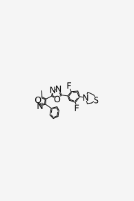 Cc1onc(-c2ccccc2)c1-c1nnc(-c2cc(F)c(N3CCSCC3)cc2F)o1